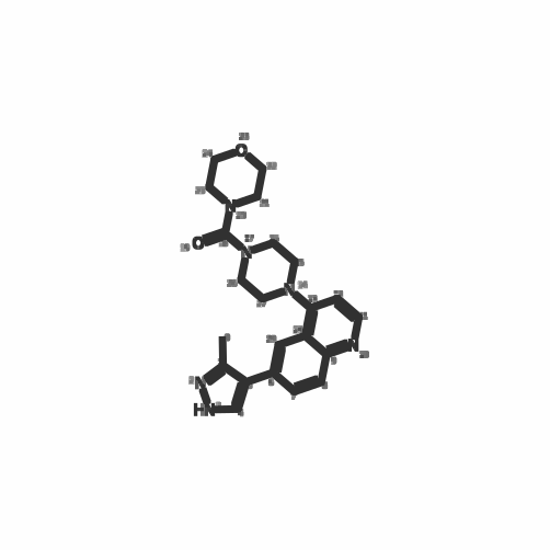 Cc1n[nH]cc1-c1ccc2nccc(N3CCN(C(=O)N4CCOCC4)CC3)c2c1